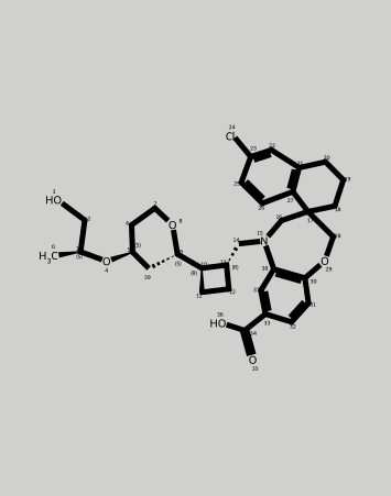 C[C@@H](CO)O[C@H]1CCO[C@H]([C@@H]2CC[C@H]2CN2CC3(CCCc4cc(Cl)ccc43)COc3ccc(C(=O)O)cc32)C1